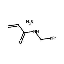 C=CC(=O)NCCCC.S